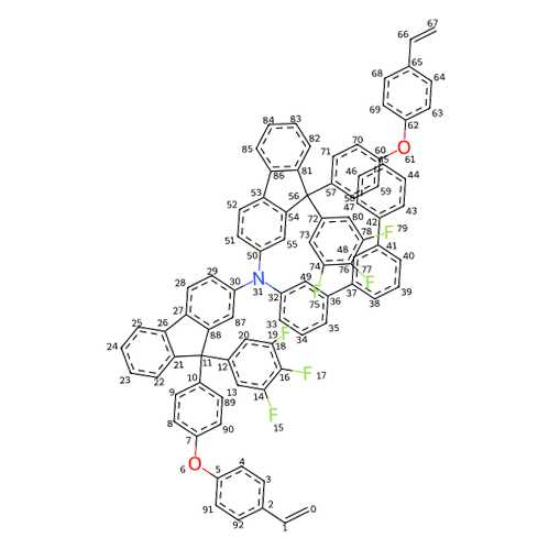 C=Cc1ccc(Oc2ccc(C3(c4cc(F)c(F)c(F)c4)c4ccccc4-c4ccc(N(c5cccc(-c6cccc(-c7ccccc7)c6)c5)c5ccc6c(c5)C(c5ccc(Oc7ccc(C=C)cc7)cc5)(c5cc(F)c(F)c(F)c5)c5ccccc5-6)cc43)cc2)cc1